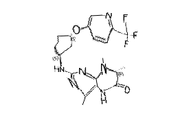 Cc1nc(N[C@H]2CC[C@H](Oc3ccc(C(F)(F)F)nc3)C2)nc2c1NC(=O)[C@@H](C)N2C